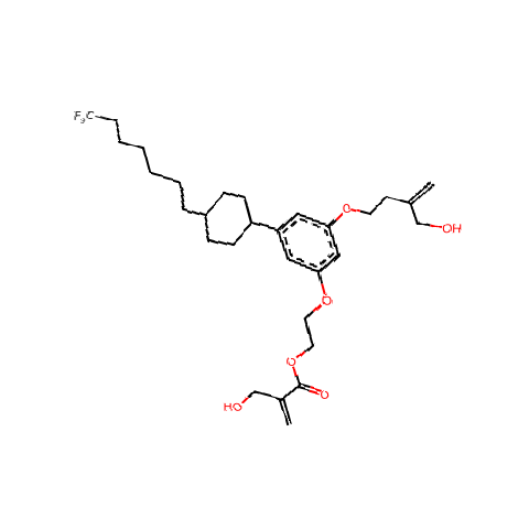 C=C(CO)CCOc1cc(OCCOC(=O)C(=C)CO)cc(C2CCC(CCCCCCC(F)(F)F)CC2)c1